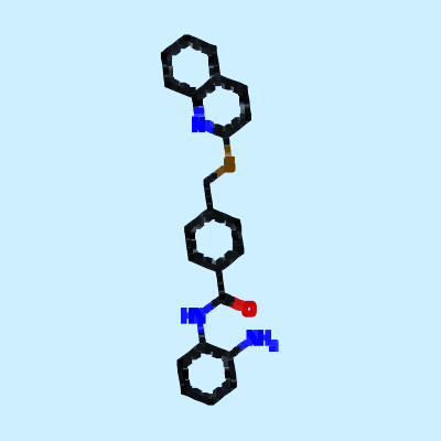 Nc1ccccc1NC(=O)c1ccc(CSc2ccc3ccccc3n2)cc1